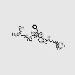 CCCOP(C)OCCCNC(=O)CNC(=O)C(CC(C)C)NC(=O)C(Cc1ccccc1)NC(=O)CNC(=O)OOCCP(C)CCO